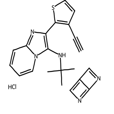 C#Cc1ccsc1-c1nc2ccccn2c1NC(C)(C)C.Cl.c1nc2ncc1-2